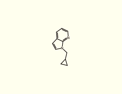 c1cnc2c(c1)ccn2CC1CC1